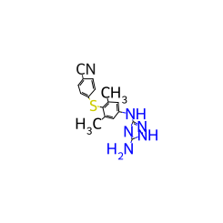 Cc1cc(Nc2n[nH]c(N)n2)cc(C)c1Sc1ccc(C#N)cc1